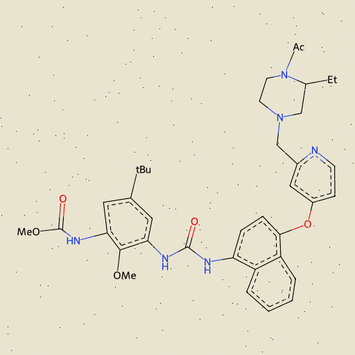 CCC1CN(Cc2cc(Oc3ccc(NC(=O)Nc4cc(C(C)(C)C)cc(NC(=O)OC)c4OC)c4ccccc34)ccn2)CCN1C(C)=O